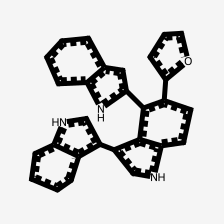 [c]1[nH]c2ccc(-c3ccco3)c(-c3cc4ccccc4[nH]3)c2c1-c1c[nH]c2ccccc12